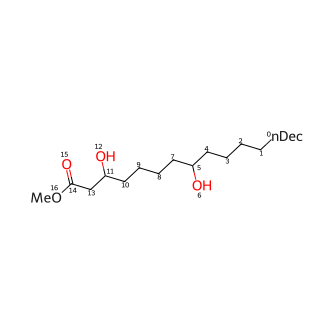 CCCCCCCCCCCCCCC(O)CCCCC(O)CC(=O)OC